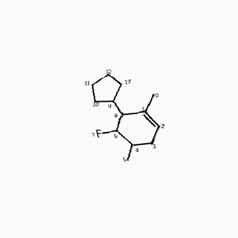 CC1=CCC(C)C(F)C1C1CCCC1